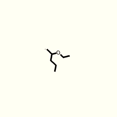 [CH2]C(CCC)OCC